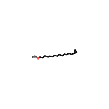 CC[CH]OCCCCCCCCCCCCCCC1CC1